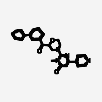 Cn1c(N2CCOC(C(=O)c3cccc(-c4ccccc4)c3)C2)nc(-c2ccncc2)cc1=O